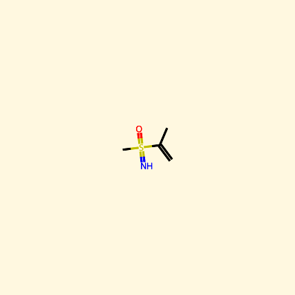 C=C(C)S(C)(=N)=O